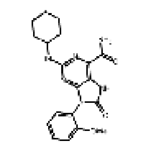 COc1ccccc1-n1c(=O)[nH]c2c(C(N)=O)nc(NC3CC[CH]CC3)nc21